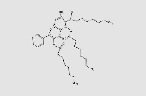 CCCCCCCC(=O)Oc1c(-c2ccccc2)oc2cc(O)c(C(=O)CCCCCCC)c(OC(=O)CCCCCCC)c2c1=O